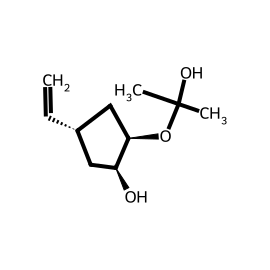 C=C[C@H]1C[C@H](O)[C@H](OC(C)(C)O)C1